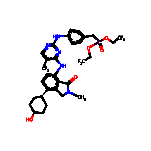 CN1Cc2c(c(Nc3nc(Nc4ccc(CP(=O)(OCC(F)(F)F)OCC(F)(F)F)cc4)ncc3C(F)(F)F)ccc2[C@H]2CC[C@H](O)CC2)C1=O